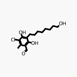 Cc1c(Cl)c(O)c(CCCCCCCCO)c(O)c1C=O